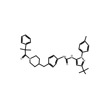 Cc1ccc(-n2nc(C(C)(C)C)cc2NC(=O)Nc2ccc(CC3CCN(C(=O)C(C)(C)c4ccccc4)CC3)cc2)cc1